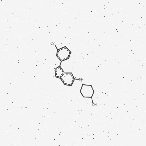 Cc1cccc(-c2nnc3ccc(N[C@H]4CC[C@H](O)CC4)cn23)c1